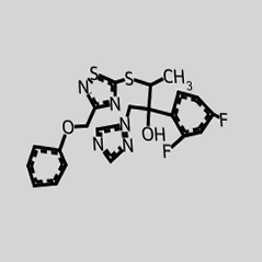 CC(Sc1nc(COc2ccccc2)ns1)C(O)(Cn1cncn1)c1ccc(F)cc1F